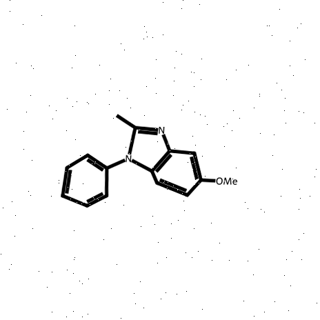 COc1ccc2c(c1)nc(C)n2-c1ccccc1